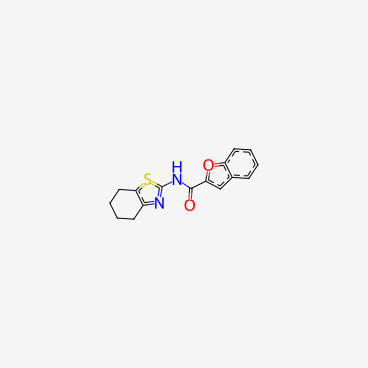 O=C(Nc1nc2c(s1)CCCC2)c1cc2ccccc2o1